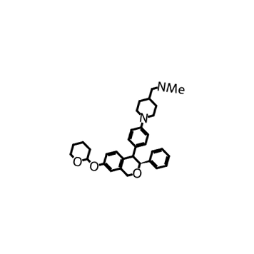 CNCC1CCN(c2ccc(C3c4ccc(OC5CCCCO5)cc4CO[C@@H]3c3ccccc3)cc2)CC1